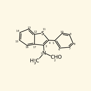 CN(C=O)c1c(-c2ccccc2)sc2ccccc12